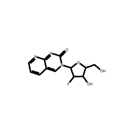 O=c1nc2ncccc2cn1C1OC(CO)C(O)C1F